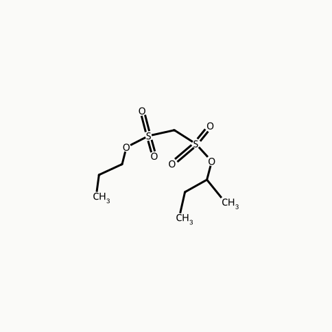 CCCOS(=O)(=O)CS(=O)(=O)OC(C)CC